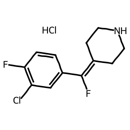 Cl.FC(=C1CCNCC1)c1ccc(F)c(Cl)c1